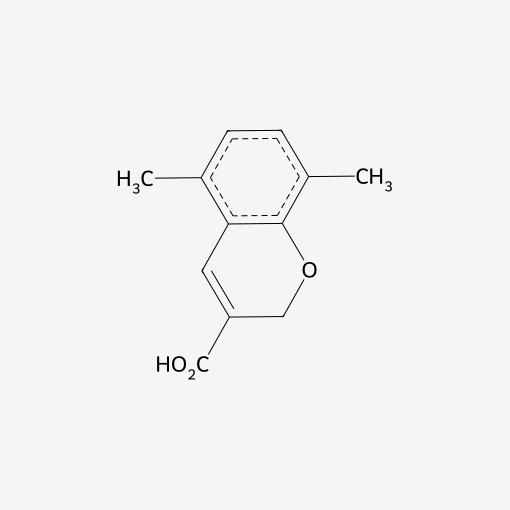 Cc1ccc(C)c2c1C=C(C(=O)O)CO2